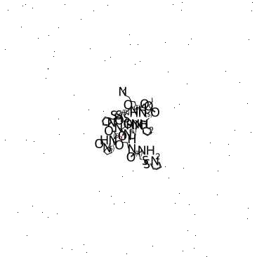 CCOC(=O)[C@H](Cc1c[nH]c2ccccc12)NC(=O)[C@H](CCCCN(C)C)NC(=O)[C@H](CSSc1ccccn1)SC(=O)CC(NC(=O)[C@H](CCCCNC(=O)[C@@H](N)CSSc1ccccn1)NC(=O)[C@@H]1CCCN1C=O)C(=O)N1CCC[C@H]1C(N)=O